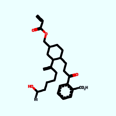 C=CC(=O)OCC1CCC(CCC(=O)c2ccccc2C(=O)O)C(C(=C)CCCCC(O)CC)C1